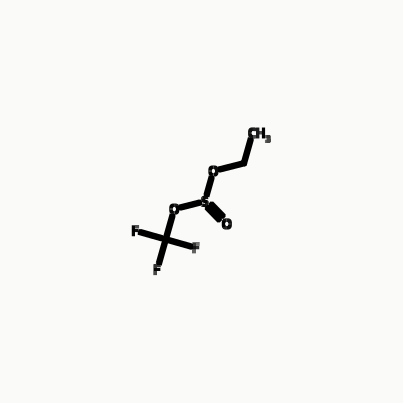 CCOS(=O)OC(F)(F)F